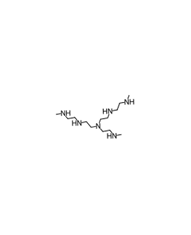 CNCCNCCN(CCNC)CCNCCNC